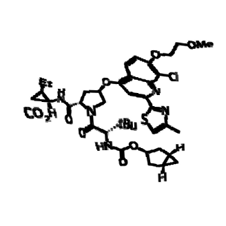 CC[C@@H]1C[C@]1(NC(=O)[C@@H]1C[C@@H](Oc2cc(-c3nc(C)cs3)nc3c(Cl)c(OCCOC)ccc23)CN1C(=O)[C@@H](NC(=O)O[C@H]1C[C@@H]2C[C@@H]2C1)C(C)(C)C)C(=O)O